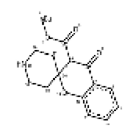 CCCCOC(=O)C1C(=O)c2ccccc2OC12CCNCC2